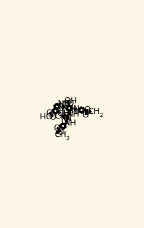 C=CS(=O)(=O)c1ccc(/N=N/c2cc(S(=O)(=O)O)c(/N=N/c3c(N)ccc4cc(S(=O)(=O)O)cc(O)c34)cc2Nc2nc(Cl)nc(Nc3ccc(S(=O)(=O)C=C)cc3)n2)cc1